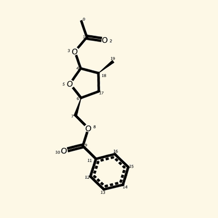 CC(=O)OC1O[C@H](COC(=O)c2ccccc2)C[C@@H]1C